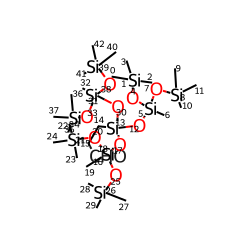 C[Si](C)(C)O[Si](C)(O[Si](C)(C)C)O[Si](CCC=O)(O[Si](C)(O[Si](C)(C)C)O[Si](C)(C)C)O[Si](C)(O[Si](C)(C)C)O[Si](C)(C)C